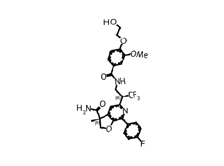 COc1cc(C(=O)NC[C@H](c2cc3c(c(-c4ccc(F)cc4)n2)OC[C@]3(C)C(N)=O)C(F)(F)F)ccc1OCCO